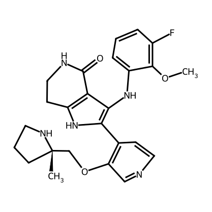 COc1c(F)cccc1Nc1c(-c2ccncc2OC[C@]2(C)CCCN2)[nH]c2c1C(=O)NCC2